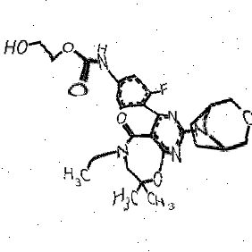 CCN1CC(C)(C)Oc2nc(N3C4CCC3COC4)nc(-c3ccc(NC(=O)OCCO)cc3F)c2C1=O